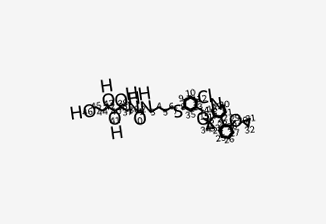 O=C(NCCCCSc1ccc(Cl)c(COC2(c3cnccc3-c3ccccc3OC3CC3)CC2)c1)NCC(O)C(O)C(O)CCO